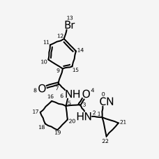 N#CC1(NC(=O)C2(NC(=O)c3ccc(Br)cc3)CCCCC2)CC1